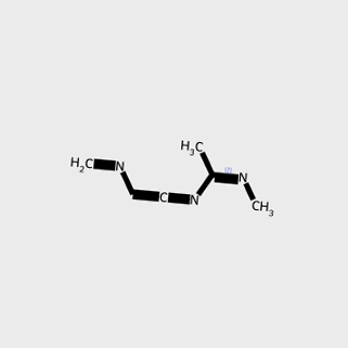 C=NC=C=N/C(C)=N\C